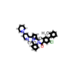 COc1cc(-c2ccccc2C)c(Cl)cc1C(=O)N1Cc2ccc(C3CC(N4CCCCC4)CCN3C=O)n2Cc2ccccc21